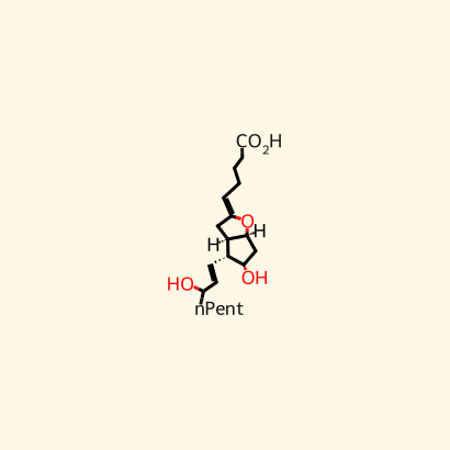 CCCCCC(O)/C=C/[C@@H]1[C@H]2C/C(=C/CCCC(=O)O)O[C@H]2C[C@H]1O